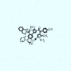 Cc1c(N(C(=O)c2cc(-c3cc4c(cc3C(=O)N3Cc5ccccc5C[C@H]3CN3CCOCC3)OCCO4)n(C)c2C)c2ccc(O)cc2)cc(C#N)n1C.Cl